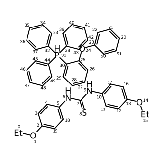 CCOc1ccc(NC(=S)Nc2ccc(OCC)cc2)cc1.c1ccc(Oc2ccccc2[PH](c2ccccc2)(c2ccccc2)c2ccccc2)cc1